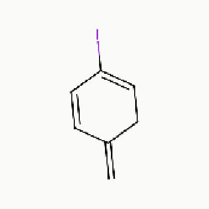 C=C1C=CC(I)=CC1